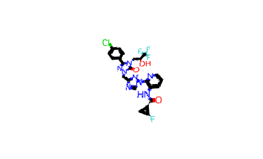 O=C(Nc1cccnc1-n1cnc(Cn2nc(-c3ccc(Cl)cc3)n(C[C@H](O)C(F)(F)F)c2=O)n1)[C@H]1C[C@H]1F